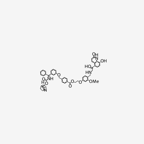 COc1cc(OCCOC(=O)c2ccc(COc3cccc([C@@H](NC(=O)O[C@H]4CN5CCC4CC5)c4ccccc4)c3)cc2)ccc1CNC[C@H](O)c1ccc(O)c2[nH]c(=O)ccc12